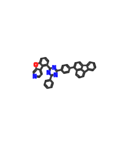 c1ccc(-c2nc(-c3ccc(-c4ccc5c6c(cccc46)-c4ccccc4-5)cc3)nc(-c3cccc4oc5cnccc5c34)n2)cc1